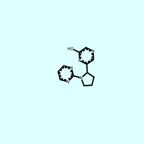 Oc1cncc(C2CCCN2c2ncccn2)n1